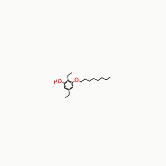 CCCCCCCCOc1cc(CC)cc(O)c1CC